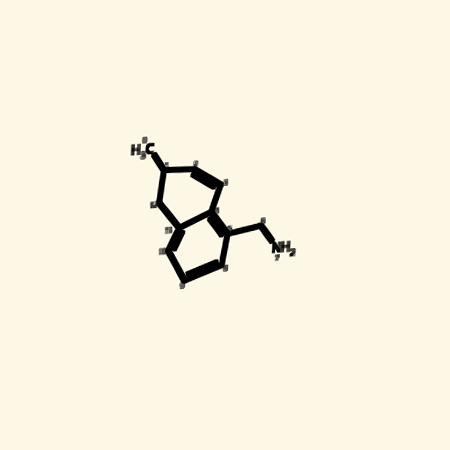 CC1C=Cc2c(CN)cccc2C1